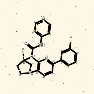 O=C(Nc1ccncn1)N1c2nc(-c3cccc(F)c3)ccc2N2CC[C@H]1C2